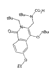 CCCCOc1c(CN(C(=O)O)C(C)(C)C)n(CC(C)(C)C)c(=O)c2ccc(OCC)cc12